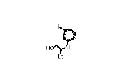 CCC(CO)Nc1cc(I)ccn1